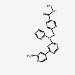 Nc1cc(-c2ccnc(N(Cc3ccc(C(=O)NO)cc3)c3cnccn3)c2)ccn1